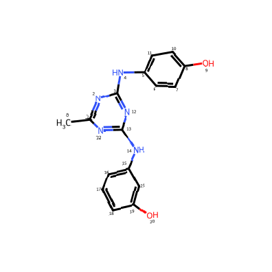 Cc1nc(Nc2ccc(O)cc2)nc(Nc2cccc(O)c2)n1